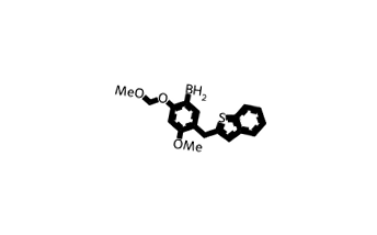 Bc1cc(Cc2cc3ccccc3s2)c(OC)cc1OCOC